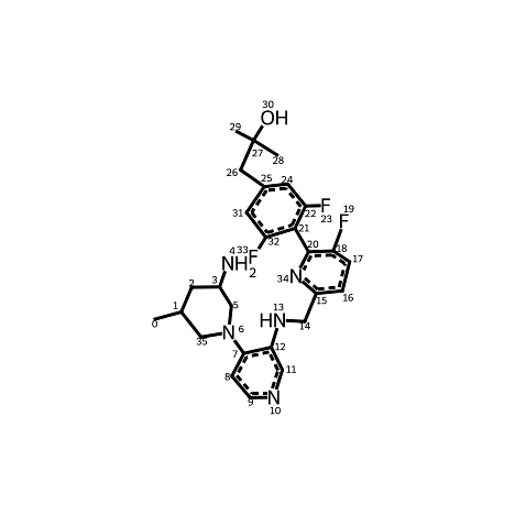 CC1CC(N)CN(c2ccncc2NCc2ccc(F)c(-c3c(F)cc(CC(C)(C)O)cc3F)n2)C1